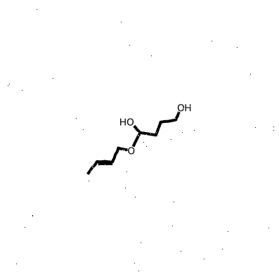 C/C=C/COC(O)CCCO